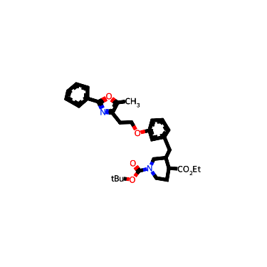 CCOC(=O)C1CCN(C(=O)OC(C)(C)C)CC1Cc1cccc(OCCc2nc(-c3ccccc3)oc2C)c1